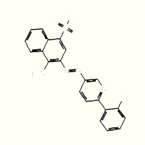 Nc1c(N=Nc2ccc(-c3ccccc3Cl)nc2)cc(S(=O)(=O)O)c2ccccc12